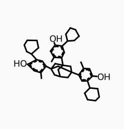 Cc1cc(O)c(C2CCCCC2)cc1C12CC3CC(c4cc(C5CCCCC5)c(O)cc4C)(C1)CC(c1cc(C4CCCCC4)c(O)cc1C)(C3)C2